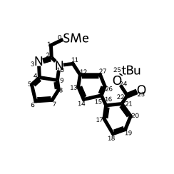 CSCc1nc2ccccc2n1Cc1ccc(-c2ccccc2C(=O)OC(C)(C)C)cc1